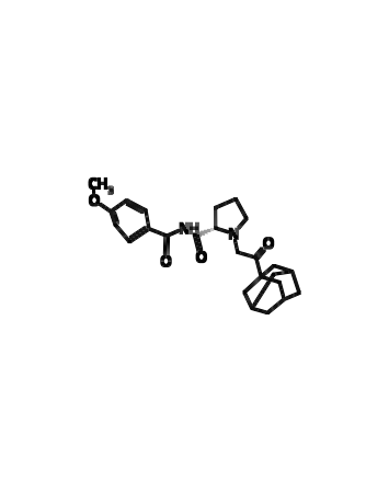 COc1ccc(C(=O)NC(=O)[C@@H]2CCCN2CC(=O)C23CC4CC(CC(C4)C2)C3)cc1